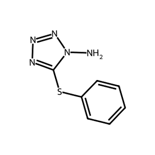 Nn1nnnc1Sc1ccccc1